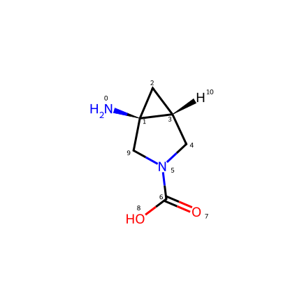 N[C@@]12C[C@@H]1CN(C(=O)O)C2